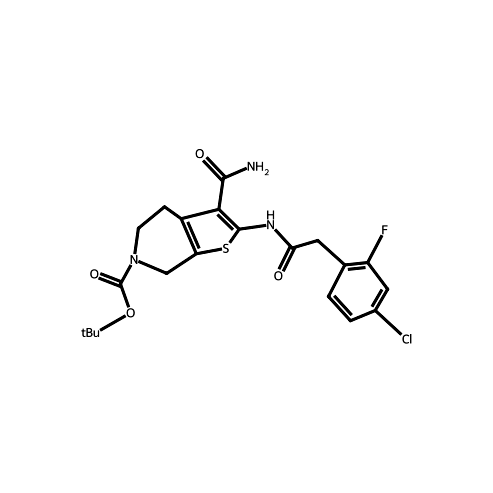 CC(C)(C)OC(=O)N1CCc2c(sc(NC(=O)Cc3ccc(Cl)cc3F)c2C(N)=O)C1